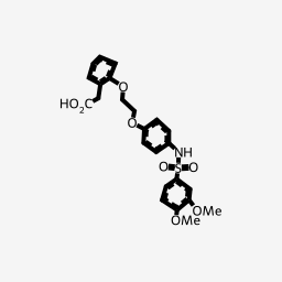 COc1ccc(S(=O)(=O)Nc2ccc(OCCOc3ccccc3CC(=O)O)cc2)cc1OC